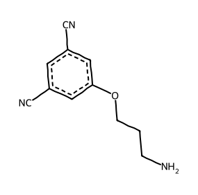 N#Cc1cc(C#N)cc(OCCCN)c1